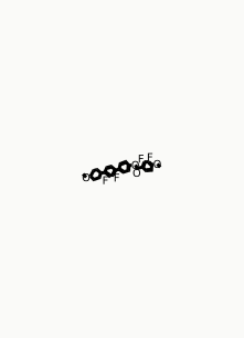 COc1ccc(C(=O)Oc2ccc(-c3ccc(C4CCC(OC)CC4)c(F)c3F)cc2)c(F)c1F